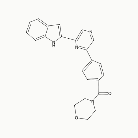 O=C(c1ccc(-c2cncc(-c3cc4ccccc4[nH]3)n2)cc1)N1CCOCC1